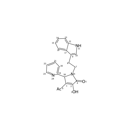 CC(=O)C1=C(O)C(=O)N(CCc2c[nH]c3ccccc23)C1c1ccccn1